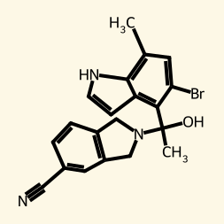 Cc1cc(Br)c(C(C)(O)N2Cc3ccc(C#N)cc3C2)c2cc[nH]c12